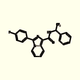 O=C(NC(c1ccccc1)C(F)(F)F)c1nc(-c2ccc(F)cc2)n2ccccc12